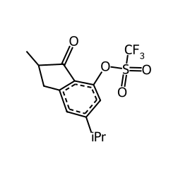 CC1Cc2cc(C(C)C)cc(OS(=O)(=O)C(F)(F)F)c2C1=O